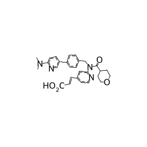 CN(C)c1ccc(-c2ccc(CN(C(=O)C3CCOCC3)c3cc(C=CC(=O)O)ccn3)cc2)cn1